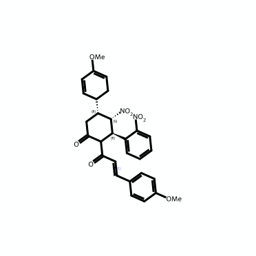 COC1=CCC([C@H]2CC(=O)C(C(=O)/C=C/c3ccc(OC)cc3)[C@H](c3ccccc3[N+](=O)[O-])[C@H]2[N+](=O)[O-])C=C1